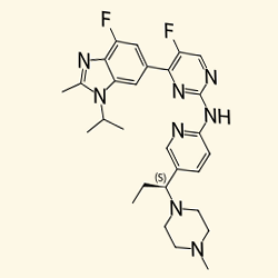 CC[C@@H](c1ccc(Nc2ncc(F)c(-c3cc(F)c4nc(C)n(C(C)C)c4c3)n2)nc1)N1CCN(C)CC1